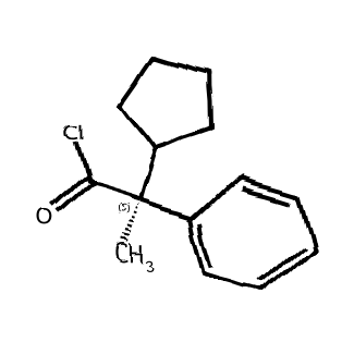 C[C@@](C(=O)Cl)(c1ccccc1)C1CCCC1